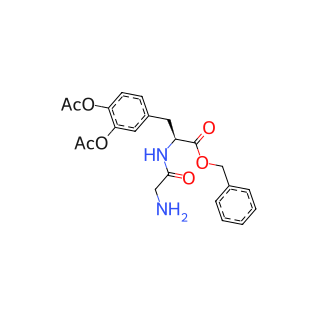 CC(=O)Oc1ccc(C[C@H](NC(=O)CN)C(=O)OCc2ccccc2)cc1OC(C)=O